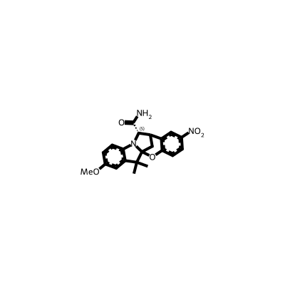 COc1ccc2c(c1)C(C)(C)C13CC(c4cc([N+](=O)[O-])ccc4O1)[C@@H](C(N)=O)N23